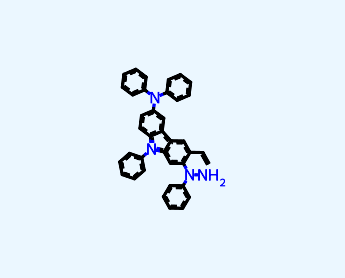 C=Cc1cc2c3cc(N(c4ccccc4)c4ccccc4)ccc3n(-c3ccccc3)c2cc1N(N)c1ccccc1